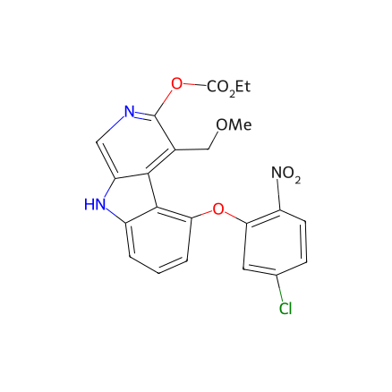 CCOC(=O)Oc1ncc2[nH]c3cccc(Oc4cc(Cl)ccc4[N+](=O)[O-])c3c2c1COC